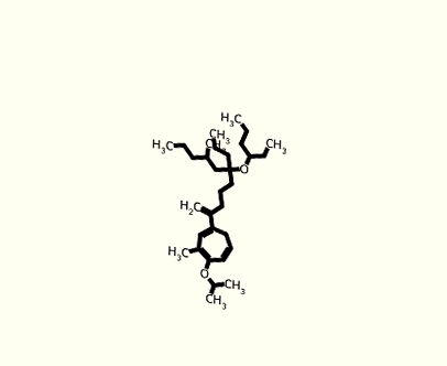 C=C(CCCC(CCC)(CC(C)CCC)OC(CC)CCC)C1=CC(C)=C(OC(C)C)C=CC1